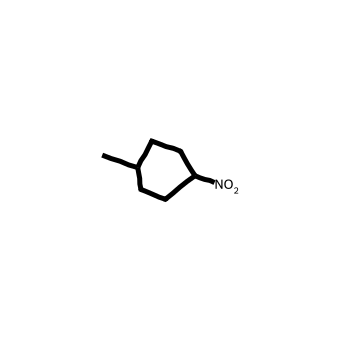 CC1CCC([N+](=O)[O-])CC1